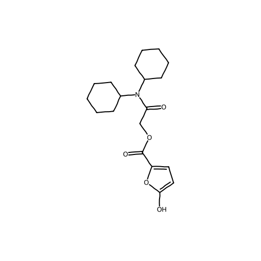 O=C(OCC(=O)N(C1CCCCC1)C1CCCCC1)c1ccc(O)o1